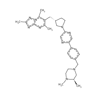 Cc1nc2nc(C)c(C[C@@H]3CCN(c4cnc(-c5ccc(CN6CCN(C)[C@H](C)C6)cc5)cn4)C3)c(C)n2n1